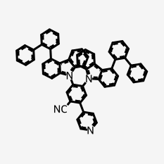 N#Cc1cc(-n2c3ccccc3c3c(-c4ccccc4-c4ccccc4)cccc32)c(-n2c3ccccc3c3c(-c4ccccc4-c4ccccc4)cccc32)cc1-c1ccncc1